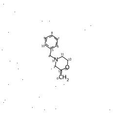 C=C1CN(Cc2ccccc2)CCO1